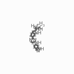 CC(C)NC(=O)c1cc2ccc(-c3nccc(Nc4ccc5cn[nH]c5c4)n3)cc2[nH]1